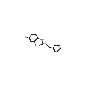 O=C(CCc1ccccc1)Nc1ccc(F)[c]c1F.[Ti]